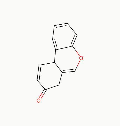 O=C1C=CC2C(=COc3ccccc32)C1